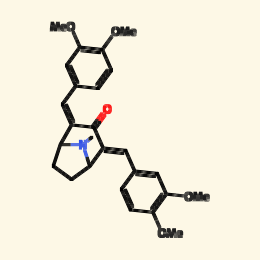 COc1ccc(C=C2C(=O)C(=Cc3ccc(OC)c(OC)c3)C3CCC2N3C)cc1OC